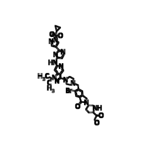 CC(C)n1nc(N2CCN(Cc3cc4c(cc3Br)C(=O)N(C3CCC(C(=O)C=O)NC3)C4)CC2)c2cnc(Nc3ccnc(-c4cnn(S(=O)(=O)C5CC5)c4)n3)cc21